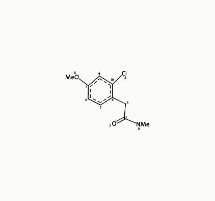 CNC(=O)Cc1ccc(OC)cc1Cl